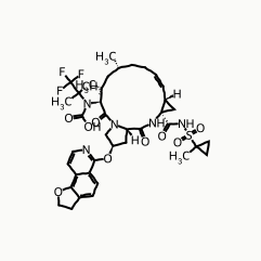 C[C@@H]1CCC=C[C@@H]2C[C@@]2(C(=O)NS(=O)(=O)C2(C)CC2)NC(=O)[C@@H]2C[C@@H](Oc3nccc4c5c(ccc34)CCO5)CN2C(=O)[C@@H](N(C(=O)O)C(C)(C)C(F)(F)F)[C@H](C)C1